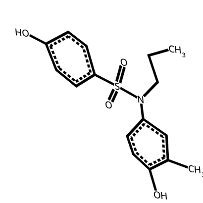 CCCN(c1ccc(O)c(C)c1)S(=O)(=O)c1ccc(O)cc1